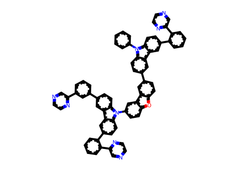 c1ccc(-n2c3ccc(-c4ccc5oc6ccc(-n7c8ccc(-c9cccc(-c%10cnccn%10)c9)cc8c8cc(-c9ccccc9-c9cnccn9)ccc87)cc6c5c4)cc3c3cc(-c4ccccc4-c4cnccn4)ccc32)cc1